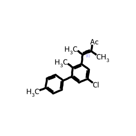 CC(=O)/C(C)=C(\C)c1cc(Cl)cc(-c2ccc(C)cc2)c1C